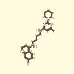 Cc1cc(NCCCCNc2ccnc3cc(Cl)ccc23)nc(N2CCCCC2)n1